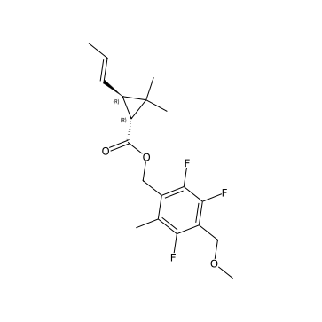 CC=C[C@@H]1[C@@H](C(=O)OCc2c(C)c(F)c(COC)c(F)c2F)C1(C)C